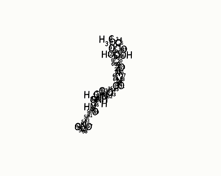 COc1cccc2c1C(=O)c1c(O)c3c(c(O)c1C2=O)C[C@@H](C(=O)CN1CCCN(C(=O)OCc2ccc(NC(=O)[C@H](C)NC(=O)CNC(=O)CCCCCN4C(=O)C=CC4=O)cc2)CC1)CC3